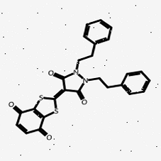 O=C1C=CC(=O)C2=C1SC(=C1C(=O)N(CCc3ccccc3)N(CCc3ccccc3)C1=O)S2